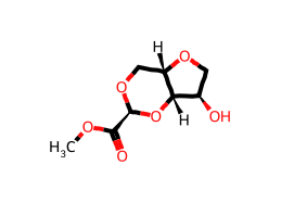 COC(=O)[C@H]1OC[C@@H]2OC[C@@H](O)[C@@H]2O1